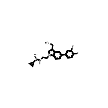 CC(C)(C)Cc1cn(CCN[S+]([O-])C2CC2)c2ccc(-c3ccc(F)c(F)c3)cc12